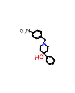 O=[N+]([O-])c1ccc(CN2CCC(O)(c3ccccc3)CC2)cc1